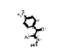 CC(=O)/C(=N\O)C(=O)c1ccc(C)cc1